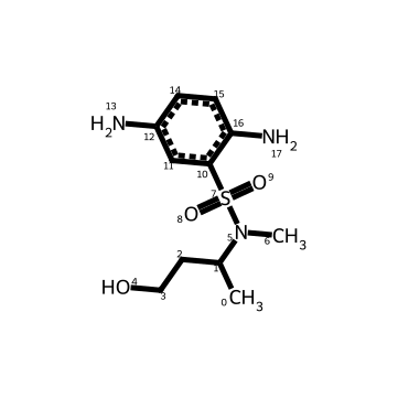 CC(CCO)N(C)S(=O)(=O)c1cc(N)ccc1N